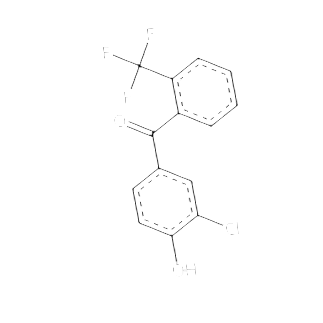 O=C(c1ccc(O)c(Cl)c1)c1ccccc1C(F)(F)F